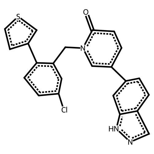 O=c1ccc(-c2ccc3cn[nH]c3c2)cn1Cc1cc(Cl)ccc1-c1ccsc1